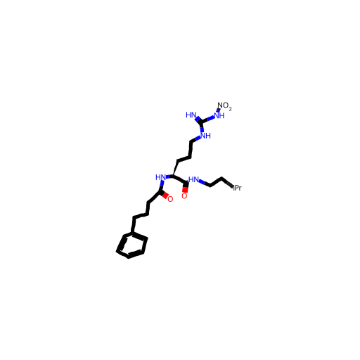 CC(C)CCNC(=O)[C@H](CCCNC(=N)N[N+](=O)[O-])NC(=O)CCCc1ccccc1